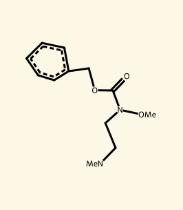 CNCCN(OC)C(=O)OCc1ccccc1